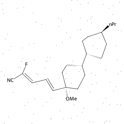 CCC[C@H]1CC[C@H]([C@H]2CC[C@@](C=CC=C(F)C#N)(OC)CC2)CC1